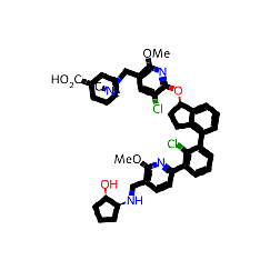 COc1nc(-c2cccc(-c3cccc4c3CC[C@@H]4Oc3nc(OC)c(CN4CC5(C(=O)O)CCC4CC5)cc3Cl)c2Cl)ccc1CN[C@@H]1CCC[C@@H]1O